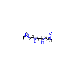 CCN(C)CCNCCCNCCNC